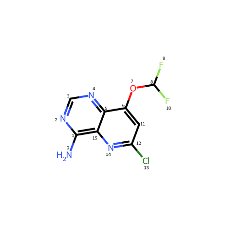 Nc1ncnc2c(OC(F)F)cc(Cl)nc12